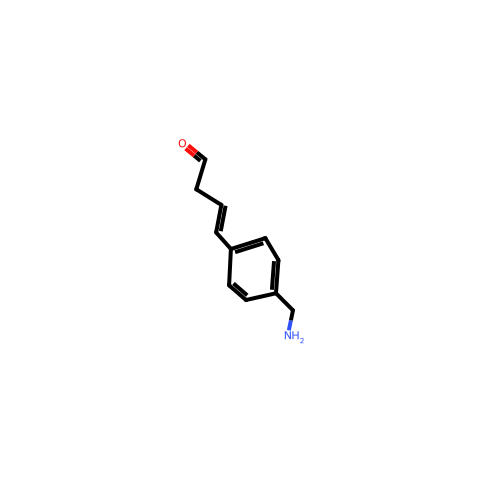 NCc1ccc(C=CCC=O)cc1